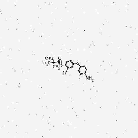 CC(=O)OC(C)(C(=O)Nc1ccc(Sc2ccc(N)cc2)cc1Cl)C(F)(F)F